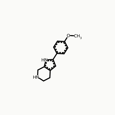 COc1ccc(-c2cc3c([nH]2)CNCC3)cc1